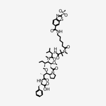 CC[C@H](C)[C@@H]([C@@H](CC(=O)N1CCC[C@H]1[C@H](OC)[C@@H](C)C(=O)N[C@@H](Cc1ccccc1)C(=O)O)OC)N(C)C(=O)[C@@H](NC(=O)C(C)(C)N(C)C(=O)CCCCCNC(=O)c1ccc2nc(S(C)(=O)=O)sc2c1)C(C)C